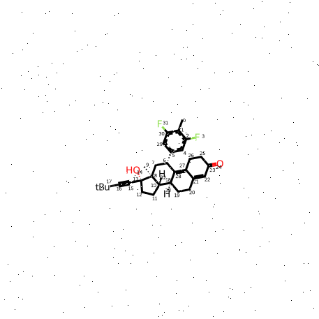 Cc1c(F)cc([C@H]2C[C@@]3(C)[C@@H](CC[C@@]3(O)C#CC(C)(C)C)[C@@H]3CCC4=CC(=O)CCC4=C32)cc1F